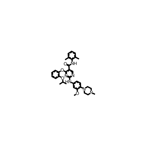 COc1cc(Nc2ncc(C(=O)Nc3c(C)cccc3C)c(Oc3ccccc3OC(C)C)n2)ccc1N1CCN(C)CC1